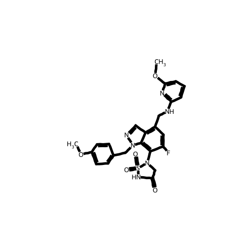 COc1ccc(Cn2ncc3c(CNc4cccc(OC)n4)cc(F)c(N4CC(=O)NS4(=O)=O)c32)cc1